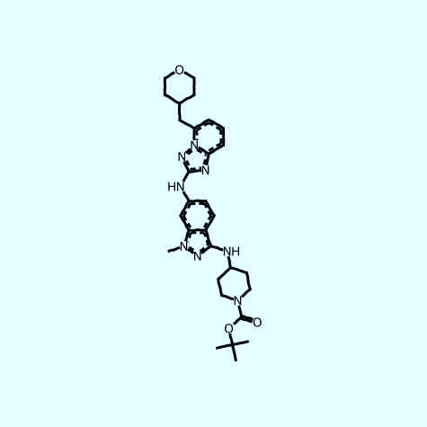 Cn1nc(NC2CCN(C(=O)OC(C)(C)C)CC2)c2ccc(Nc3nc4cccc(CC5CCOCC5)n4n3)cc21